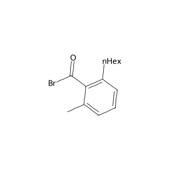 CCCCCCc1cccc(C)c1C(=O)Br